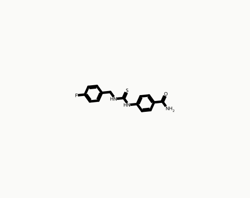 NC(=O)c1ccc(NC(=S)NCc2ccc(F)cc2)cc1